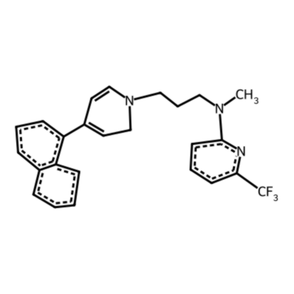 CN(CCCN1C=CC(c2cccc3ccccc23)=CC1)c1cccc(C(F)(F)F)n1